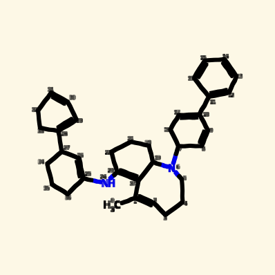 C/C1=C\CCCN(C2C=CC(c3ccccc3)=CC2)C2CCCC(NC3=CC(C4=CC=CCC4)CCC3)=C12